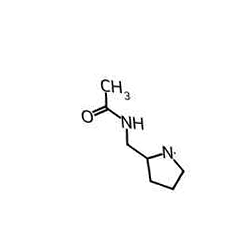 CC(=O)NCC1CCC[N]1